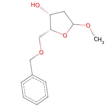 COC1C[C@@H](O)[C@@H](COCc2ccccc2)O1